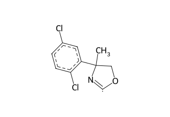 CC1(c2cc(Cl)ccc2Cl)CO[C]=N1